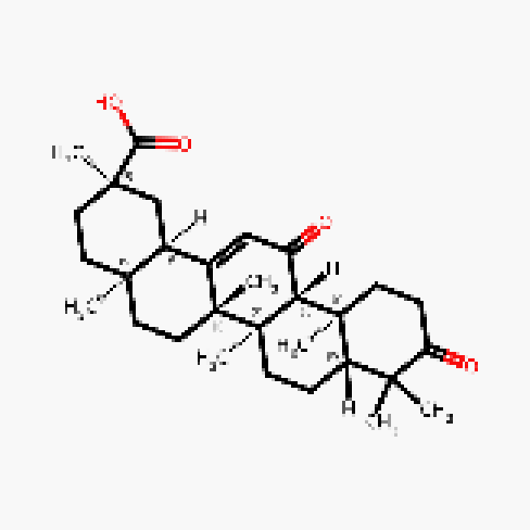 CC1(C)C(=O)CC[C@]2(C)[C@H]3C(=O)C=C4[C@@H]5C[C@](C)(C(=O)O)CC[C@]5(C)CC[C@@]4(C)[C@]3(C)CC[C@@H]12